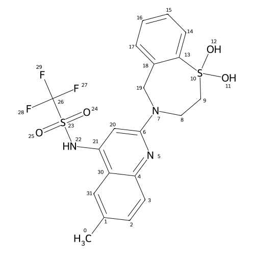 Cc1ccc2nc(N3CCS(O)(O)c4ccccc4C3)cc(NS(=O)(=O)C(F)(F)F)c2c1